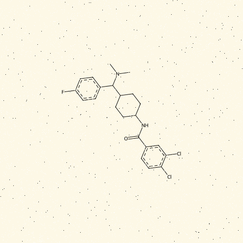 CN(C)C(c1ccc(F)cc1)C1CCC(NC(=O)c2ccc(Cl)c(Cl)c2)CC1